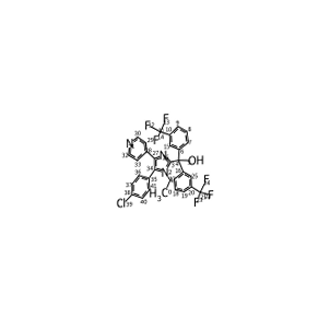 CCn1c(C(O)(c2cccc(C(F)(F)F)c2)c2cccc(C(F)(F)F)c2)nc(-c2ccncc2)c1-c1ccc(Cl)cc1